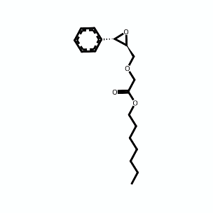 CCCCCCCOC(=O)COC[C@@H]1O[C@H]1c1ccccc1